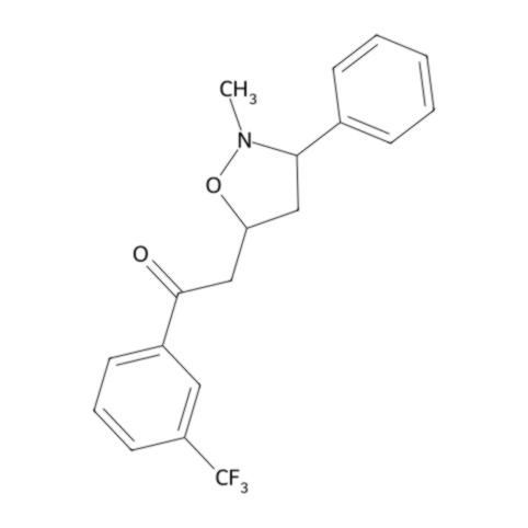 CN1OC(CC(=O)c2cccc(C(F)(F)F)c2)CC1c1ccccc1